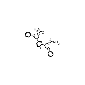 Cc1ccc(C([CH]OC(N)=O)COc2ccccc2)cc1C([CH]OC(N)=O)COc1ccccc1